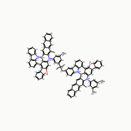 Cc1c2c(cc3cc4ccccc4cc13)B1c3c(cc4c(oc5ccccc54)c3-c3cccc4c5cc(CC(C)(C)c6cc(N7c8cc9oc%10ccccc%10c9c9c8B(c8cc%10cc%11ccccc%11cc%10c(C)c87)n7c8ccccc8c8cccc-9c87)cc(C(C)(C)C)c6)ccc5n1c34)N2c1cc(C(C)(C)C)cc(C(C)(C)C)c1